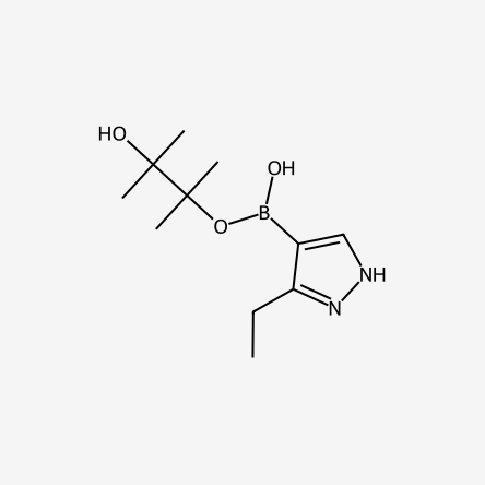 CCc1n[nH]cc1B(O)OC(C)(C)C(C)(C)O